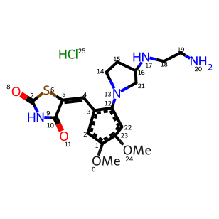 COc1cc(/C=C2/SC(=O)NC2=O)c(N2CCC(NCCN)C2)cc1OC.Cl